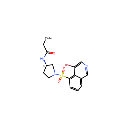 COCC(=O)N[C@@H]1CCN(S(=O)(=O)c2cccc3cncc(Br)c23)C1